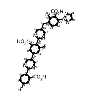 O=C(O)c1cc(F)ccc1-c1ncc(-c2cc(F)c(-c3ncc(Cc4ccc(-n5nccn5)c(C(=O)O)c4F)cn3)c(C(=O)O)c2)cn1